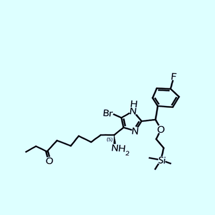 CCC(=O)CCCCC[C@H](N)c1nc(C(OCC[Si](C)(C)C)c2ccc(F)cc2)[nH]c1Br